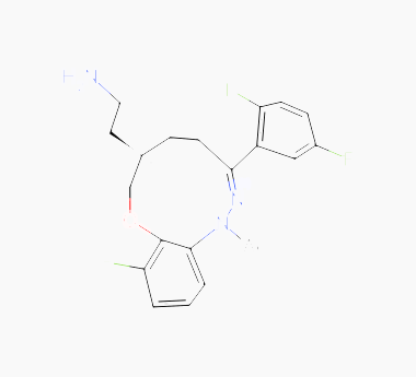 CC(=O)N1/N=C(/c2cc(F)ccc2F)CC[C@H](CCN)COc2c(F)cccc21